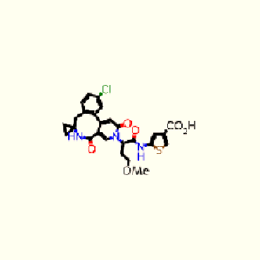 COCCC(C(=O)Nc1cc(C(=O)O)cs1)n1cc2c(cc1=O)-c1cc(Cl)ccc1CC1(CC1)NC2=O